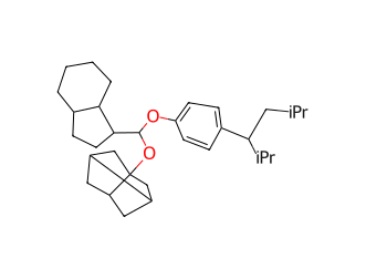 CC(C)CC(c1ccc(OC(OC23CC4CC2CC4C3)C2CCC3CCCCC32)cc1)C(C)C